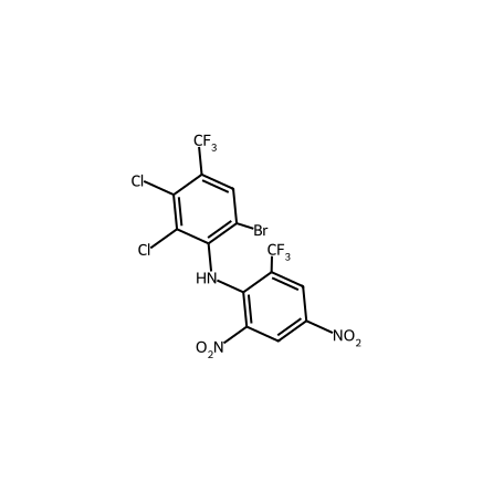 O=[N+]([O-])c1cc([N+](=O)[O-])c(Nc2c(Br)cc(C(F)(F)F)c(Cl)c2Cl)c(C(F)(F)F)c1